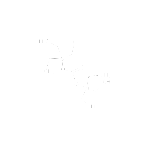 CC[Si](CC)(CC)OS(=O)O[Si](CC)(CC)CC